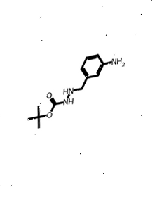 CC(C)(C)OC(=O)NNCc1cccc(N)c1